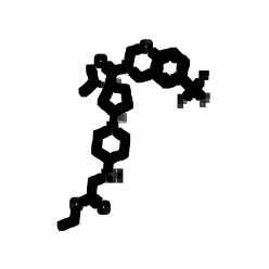 CCOC(=O)CNC1CCN([C@@H]2CC[C@@](C(=O)N3COc4ccc(C(F)(F)F)cc4C3)(C(C)C)C2)CC1